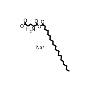 CCCCCCCCCCCCCCCCCCCC(=O)OC(=O)[C@@H](N)CCC(=O)[O-].[Na+]